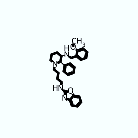 COc1ccccc1CN[C@@H]1CCCN(CCCCNc2nc3ccccc3o2)[C@@H]1c1ccccc1